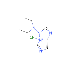 CCN(CC)N1C=NC2=CN=C[N+]21Cl